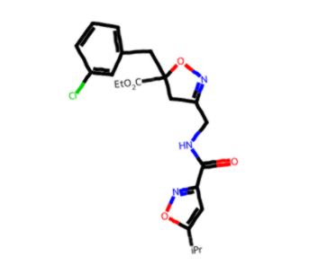 CCOC(=O)C1(Cc2cccc(Cl)c2)CC(CNC(=O)c2cc(C(C)C)on2)=NO1